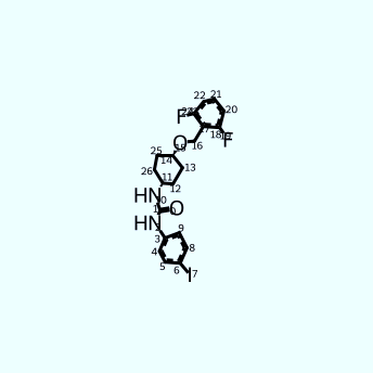 O=C(Nc1ccc(I)cc1)N[C@H]1CC[C@H](OCc2c(F)cccc2F)CC1